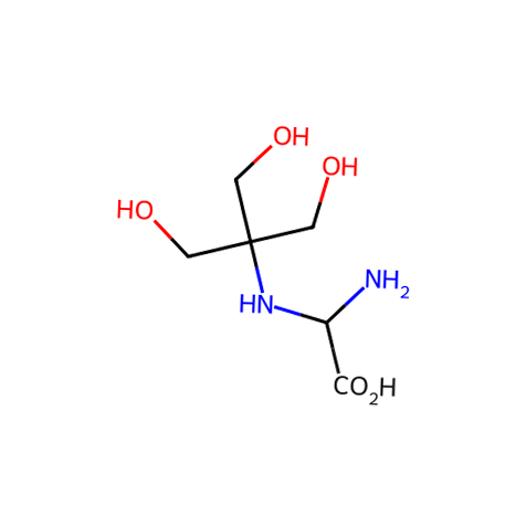 NC(NC(CO)(CO)CO)C(=O)O